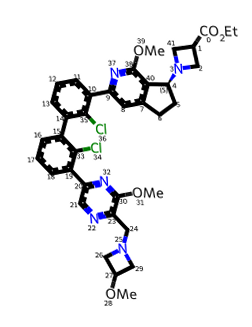 CCOC(=O)C1CN([C@H]2CCc3cc(-c4cccc(-c5cccc(-c6cnc(CN7CC(OC)C7)c(OC)n6)c5Cl)c4Cl)nc(OC)c32)C1